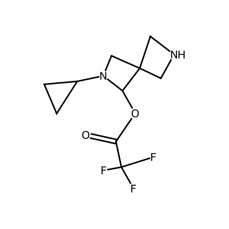 O=C(OC1N(C2CC2)CC12CNC2)C(F)(F)F